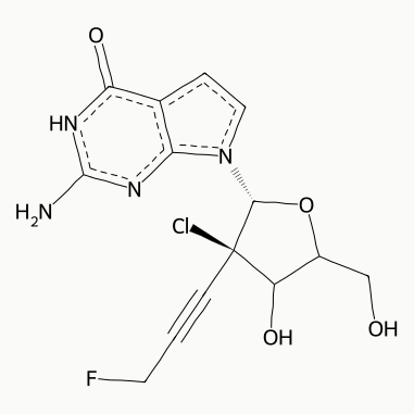 Nc1nc2c(ccn2[C@@H]2OC(CO)C(O)[C@]2(Cl)C#CCF)c(=O)[nH]1